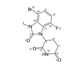 Cn1c(=O)n(C2CCC(=O)NC2=O)c2c(F)ccc(Br)c21